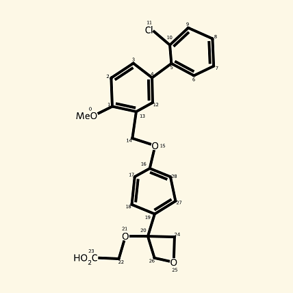 COc1ccc(-c2ccccc2Cl)cc1COc1ccc(C2(OCC(=O)O)COC2)cc1